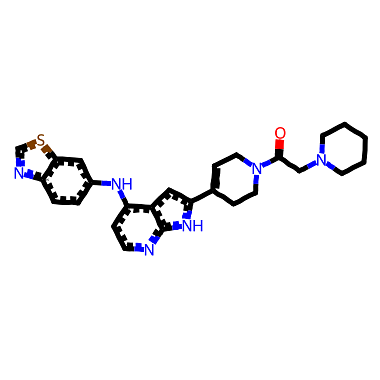 O=C(CN1CCCCC1)N1CC=C(c2cc3c(Nc4ccc5ncsc5c4)ccnc3[nH]2)CC1